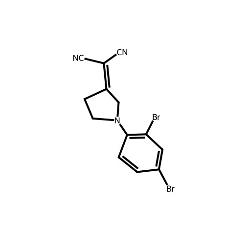 N#CC(C#N)=C1CCN(c2ccc(Br)cc2Br)C1